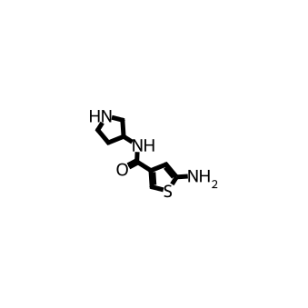 Nc1cc(C(=O)NC2CCNC2)cs1